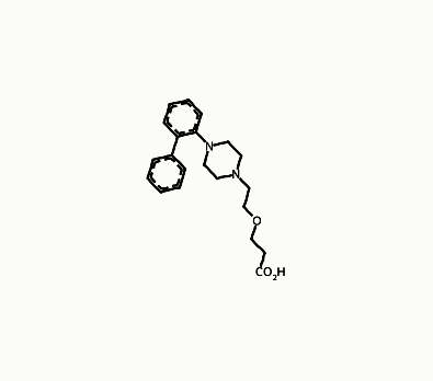 O=C(O)CCOCCN1CCN(c2ccccc2-c2ccccc2)CC1